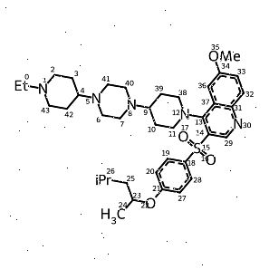 CCN1CCC(N2CCN(C3CCN(c4c(S(=O)(=O)c5ccc(OC(C)CC(C)C)cc5)cnc5ccc(OC)cc45)CC3)CC2)CC1